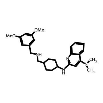 COc1cc(CNCC2CCC(Nc3cc(N(C)C)c4ccccc4n3)CC2)cc(OC)c1